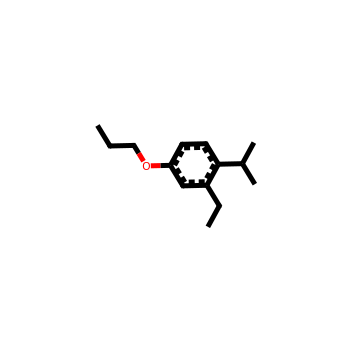 CCCOc1ccc(C(C)C)c(CC)c1